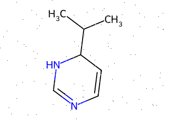 CC(C)C1C=CN=CN1